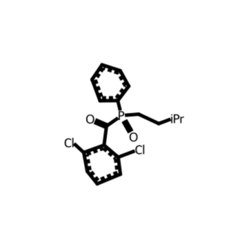 CC(C)CCP(=O)(C(=O)c1c(Cl)cccc1Cl)c1ccccc1